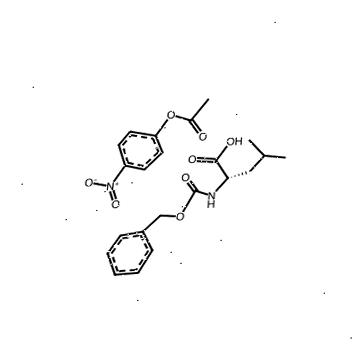 CC(=O)Oc1ccc([N+](=O)[O-])cc1.CC(C)C[C@H](NC(=O)OCc1ccccc1)C(=O)O